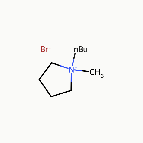 CCCC[N+]1(C)CCCC1.[Br-]